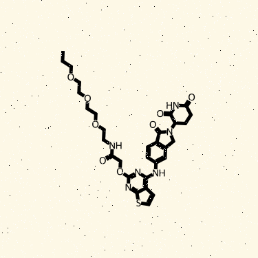 CCCOCCOCCOCCNC(=O)COc1nc(Nc2ccc3c(c2)CN(C2CCC(=O)NC2=O)C3=O)c2ccsc2n1